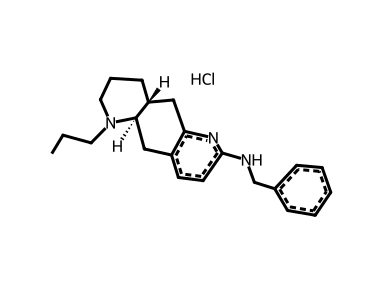 CCCN1CCC[C@@H]2Cc3nc(NCc4ccccc4)ccc3C[C@H]21.Cl